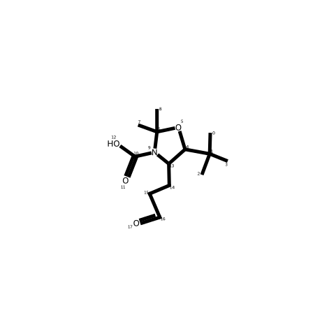 CC(C)(C)C1OC(C)(C)N(C(=O)O)C1CCC=O